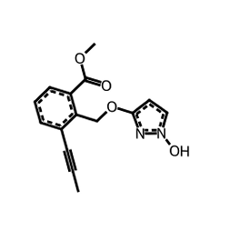 CC#Cc1cccc(C(=O)OC)c1COc1ccn(O)n1